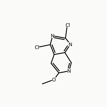 COc1cc2c(Cl)nc(Cl)nc2cn1